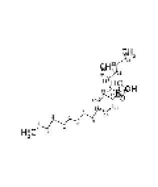 CCCCCCCCCc1ccc(P(O)(O)(O)CC(CC)CCCC)cc1